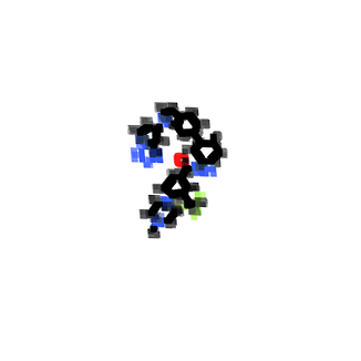 Cc1ccc(NC(=O)c2ccc(N3CCN(C)CC3)c(C(F)(F)F)c2)cc1-c1ccc2ccn(-c3ccnc(N)c3)c2c1